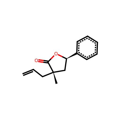 C=CC[C@@]1(C)C[C@H](c2ccccc2)OC1=O